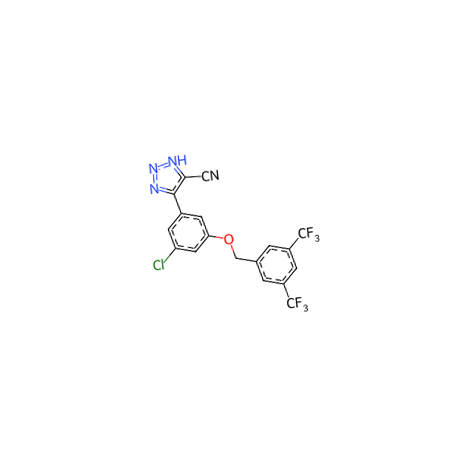 N#Cc1[nH]nnc1-c1cc(Cl)cc(OCc2cc(C(F)(F)F)cc(C(F)(F)F)c2)c1